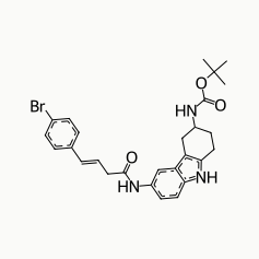 CC(C)(C)OC(=O)NC1CCc2[nH]c3ccc(NC(=O)C/C=C/c4ccc(Br)cc4)cc3c2C1